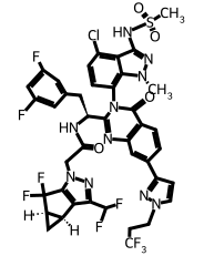 Cn1nc(NS(C)(=O)=O)c2c(Cl)ccc(-n3c([C@H](Cc4cc(F)cc(F)c4)NC(=O)Cn4nc(C(F)F)c5c4C(F)(F)[C@@H]4C[C@H]54)nc4cc(-c5ccn(CCC(F)(F)F)n5)ccc4c3=O)c21